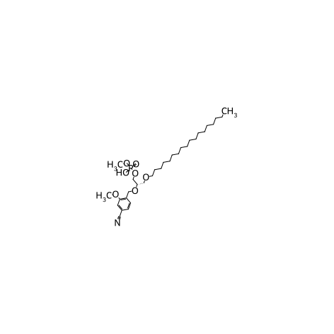 CCCCCCCCCCCCCCCCCCOC[C@@H](COP(=O)(O)OC)OCc1ccc(C#N)cc1OC